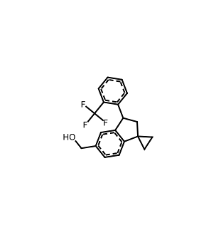 OCc1ccc2c(c1)C(c1ccccc1C(F)(F)F)CC21CC1